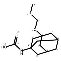 CSCOC12CC3CC(CC(NC(=O)O)(C3)C1)C2